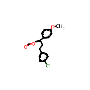 COc1ccc(/C(=C/OC=O)CCc2ccc(Cl)cc2)cc1